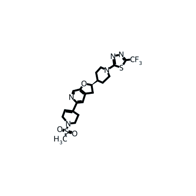 CS(=O)(=O)N1CC=C(c2cc3c(cn2)O[C@@H](C2CCN(c4nnc(C(F)(F)F)s4)CC2)C3)CC1